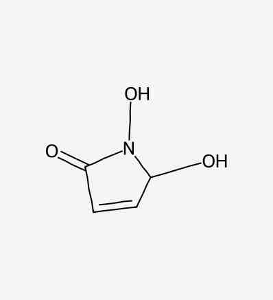 O=C1C=CC(O)N1O